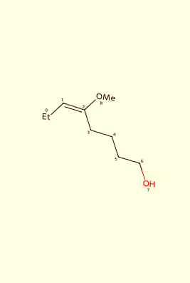 CC/C=C(\CCCCO)OC